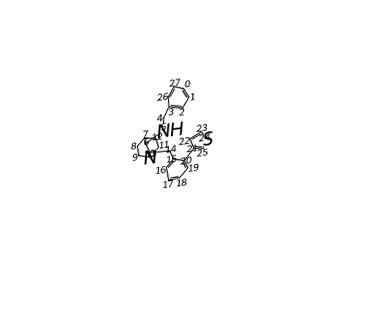 c1ccc(CNC2C3CCN(CC3)C2Cc2ccccc2-c2ccsc2)cc1